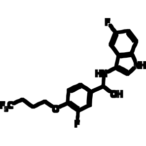 OC(Nc1c[nH]c2ccc(F)cc12)c1ccc(OCCCC(F)(F)F)c(F)c1